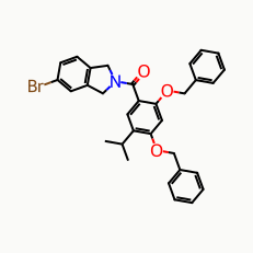 CC(C)c1cc(C(=O)N2Cc3ccc(Br)cc3C2)c(OCc2ccccc2)cc1OCc1ccccc1